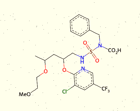 COCCOC(C)CC(CNS(=O)(=O)N(Cc1ccccc1)C(=O)O)Oc1ncc(C(F)(F)F)cc1Cl